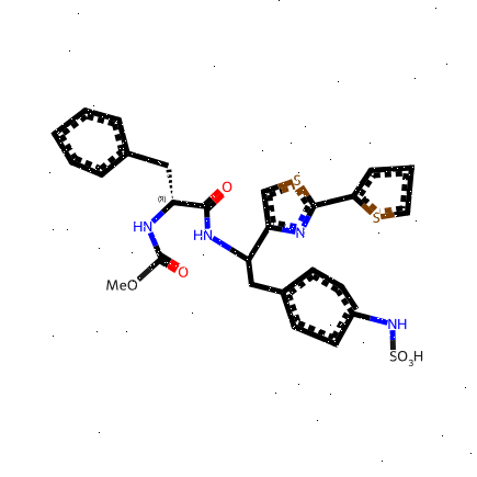 COC(=O)N[C@H](Cc1ccccc1)C(=O)NC(Cc1ccc(NS(=O)(=O)O)cc1)c1csc(-c2cccs2)n1